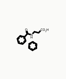 O=C(O)CCNC(=O)c1ccccc1.c1ccccc1